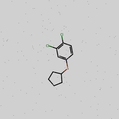 Clc1ccc(SC2CCCC2)cc1Cl